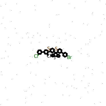 Cc1cc(-c2cccc(Cl)c2)cc2sc3cc4c(cc3c12)C1(c2cc(-c3ccc(Br)cc3)ccc2S4)c2ccccc2-c2ccccc21